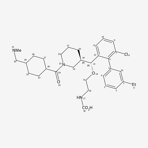 CCc1cccc(-c2c(Cl)cccc2[C@H](OCCNC(=O)O)[C@@H]2CCCN(C(=O)C3CCC(CNC)CC3)C2)c1